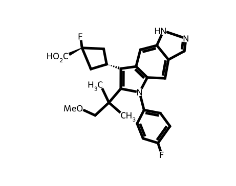 COCC(C)(C)c1c([C@H]2C[C@](F)(C(=O)O)C2)c2cc3[nH]ncc3cc2n1-c1ccc(F)cc1